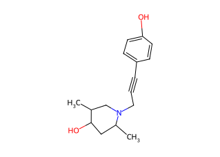 CC1CN(CC#Cc2ccc(O)cc2)C(C)CC1O